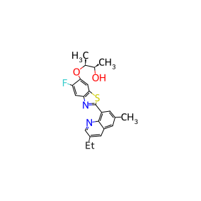 CCc1cnc2c(-c3nc4cc(F)c(O[C@@H](C)[C@@H](C)O)cc4s3)cc(C)cc2c1